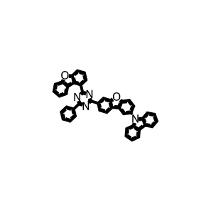 c1ccc(-c2nc(-c3ccc4c(c3)oc3ccc(-n5c6ccccc6c6ccccc65)cc34)nc(-c3cccc4oc5ccccc5c34)n2)cc1